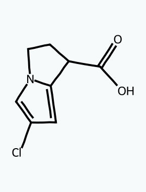 O=C(O)C1CCn2cc(Cl)cc21